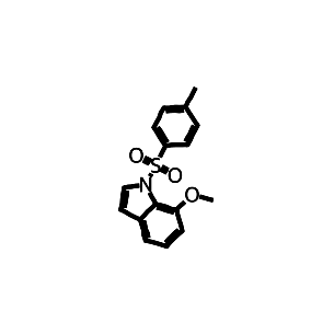 COc1cccc2ccn(S(=O)(=O)c3ccc(C)cc3)c12